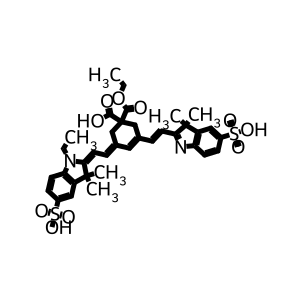 CCOC(=O)C1(C(=O)O)CC(/C=C/C2=Nc3ccc(S(=O)(=O)O)cc3C2(C)C)=CC(=C/C=C2/N(CC)c3ccc(S(=O)(=O)O)cc3C2(C)C)/C1